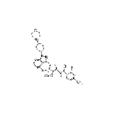 COc1cc(-c2nn(C3CCC(N4CCOCC4)CC3)c3ncnc(N)c23)ccc1NC(=O)c1ccc(C(F)(F)F)cc1F